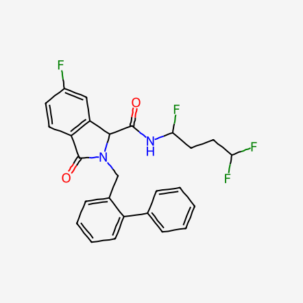 O=C(NC(F)CCC(F)F)C1c2cc(F)ccc2C(=O)N1Cc1ccccc1-c1ccccc1